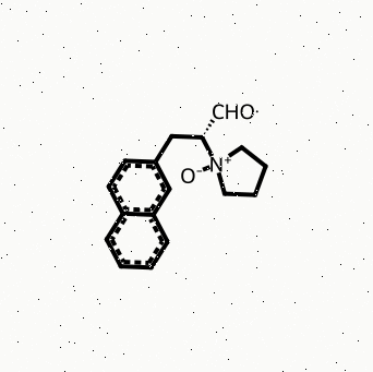 O=[C][C@@H](Cc1ccc2ccccc2c1)[N+]1([O-])CCCC1